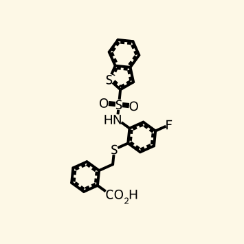 O=C(O)c1ccccc1CSc1ccc(F)cc1NS(=O)(=O)c1cc2ccccc2s1